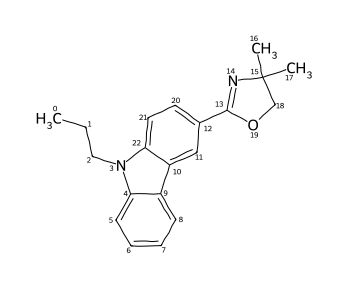 CCCn1c2ccccc2c2cc(C3=NC(C)(C)CO3)ccc21